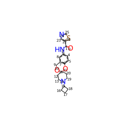 O=C(Nc1ccc2c(c1)COC1(CCN(C3CCC3)CC1)O2)c1cncs1